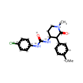 COc1ccc(C2C(=O)N(C)CCC2NC(=O)Nc2ccc(Cl)cc2)cc1